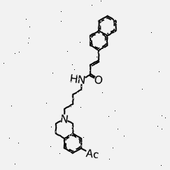 CC(=O)c1ccc2c(c1)CN(CCCCNC(=O)C=Cc1ccc3ccccc3c1)CC2